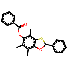 Cc1c(C)c2c(c(C)c1OC(=O)c1ccccc1)SC(c1ccccc1)O2